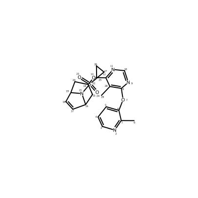 Cc1ncccc1Oc1ncnc(OC2CC3C=CC(C2)N3S(=O)(=O)C2CC2)c1C